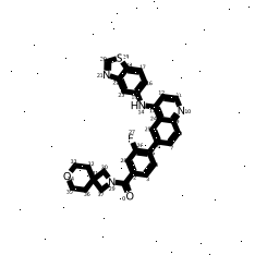 O=C(c1ccc(-c2ccc3nccc(Nc4ccc5scnc5c4)c3c2)c(F)c1)N1CC2(CCOCC2)C1